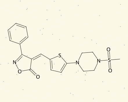 CS(=O)(=O)N1CCN(c2ccc(/C=C3\C(=O)ON=C3c3ccccc3)s2)CC1